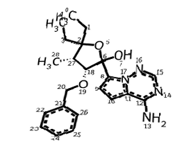 CCC1(CC)OC(O)(c2ccc3c(N)ncnn23)[C@H](OCc2ccccc2)[C@@H]1C